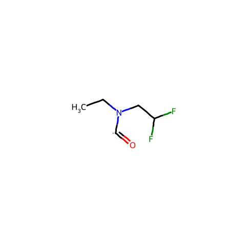 CCN([C]=O)CC(F)F